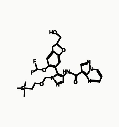 C[Si](C)(C)CCOCn1ncc(NC(=O)c2cnn3cccnc23)c1-c1cc2c(cc1OC(F)F)CC(CO)O2